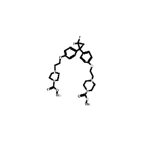 CC(C)(C)OC(=O)N1CCN(CCOc2ccc(C3(c4ccc(OCCN5CCN(C(=O)OC(C)(C)C)CC5)cc4)CC3(F)F)cc2)CC1